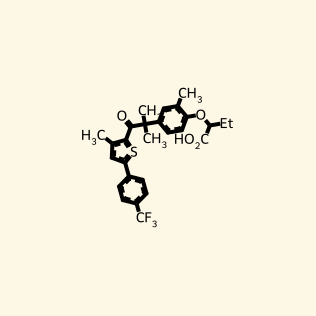 CCC(Oc1ccc(C(C)(C)C(=O)c2sc(-c3ccc(C(F)(F)F)cc3)cc2C)cc1C)C(=O)O